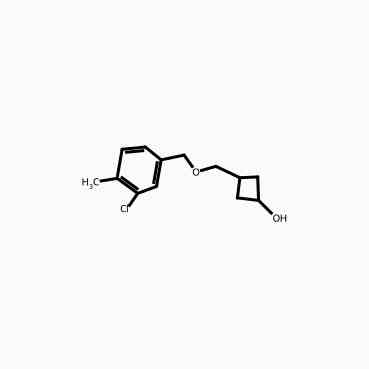 Cc1ccc(COCC2CC(O)C2)cc1Cl